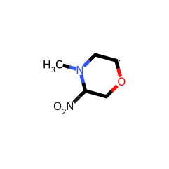 CN1C[CH]OCC1[N+](=O)[O-]